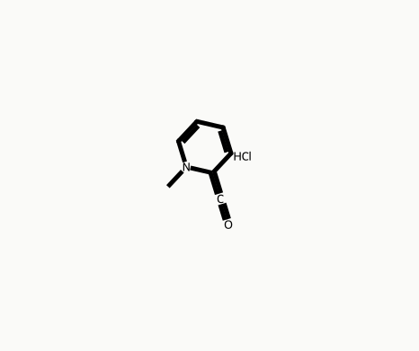 CN1C=CC=CC1=C=O.Cl